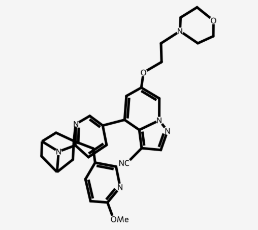 COc1ccc(CC2(C)CC3CC(C2)N3c2ccc(-c3cc(OCCN4CCOCC4)cn4ncc(C#N)c34)cn2)cn1